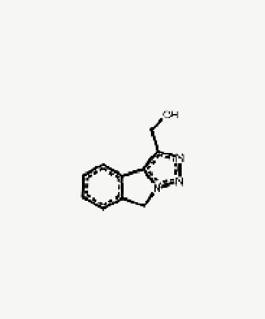 OCc1nnn2c1-c1ccccc1C2